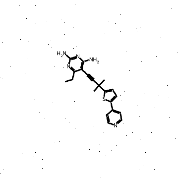 CCc1nc(N)nc(N)c1C#CC(C)(C)c1ccc(-c2ccncc2)s1